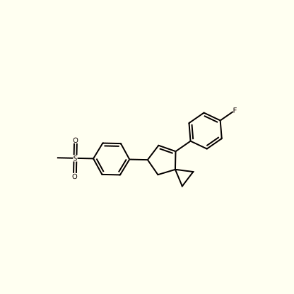 CS(=O)(=O)c1ccc(C2C=C(c3ccc(F)cc3)C3(CC3)C2)cc1